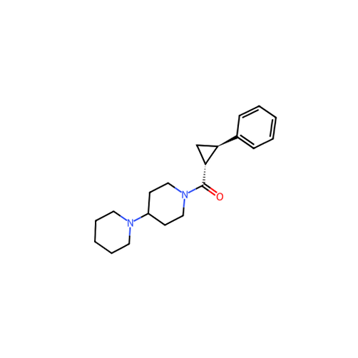 O=C([C@@H]1C[C@H]1c1ccccc1)N1CCC(N2CCCCC2)CC1